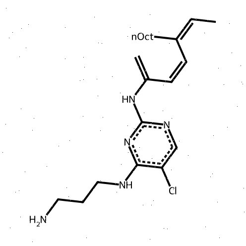 C=C(/C=C\C(=C/C)CCCCCCCC)Nc1ncc(Cl)c(NCCCN)n1